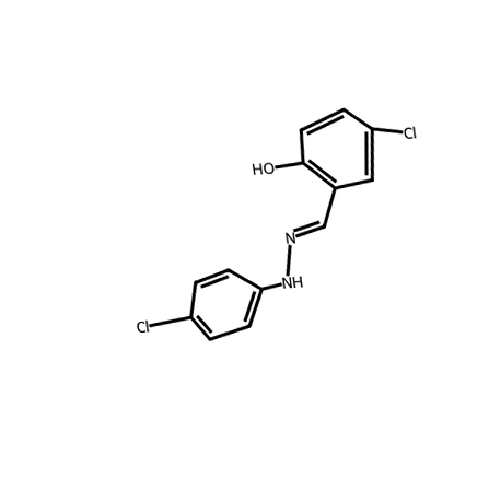 Oc1ccc(Cl)cc1/C=N/Nc1ccc(Cl)cc1